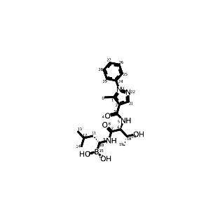 Cc1c(C(=O)N[C@H](C(=O)N[C@@H](CC(C)C)B(O)O)[C@@H](C)O)cnn1-c1ccccc1